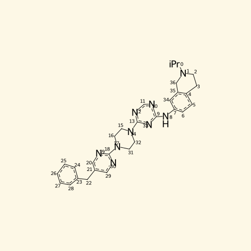 CC(C)N1CCc2ccc(Nc3ncnc(N4CCN(c5ncc(Cc6ccccc6)cn5)CC4)n3)cc2C1